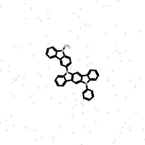 Cn1c2ccccc2c2cc(-n3c4ccccc4c4cc5c(cc43)c3ccccc3n5-c3ccccc3)ccc21